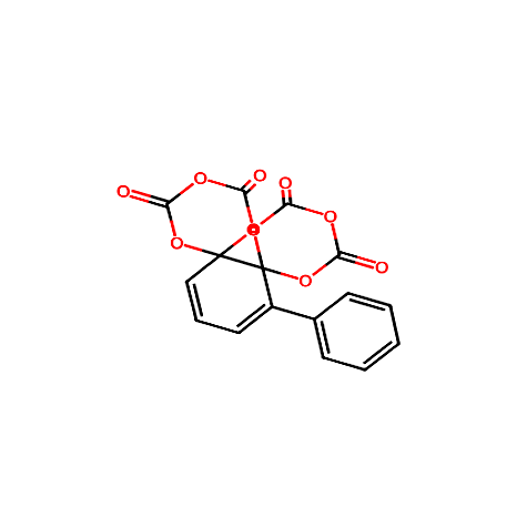 O=C1OC(=O)OC2(C=CC=C(c3ccccc3)C23OC(=O)OC(=O)O3)O1